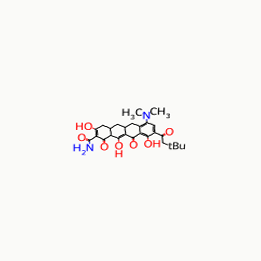 CN(C)c1cc(C(=O)CC(C)(C)C)c(O)c2c1CC1CC3CC(O)=C(C(N)=O)C(=O)C3C(O)=C1C2=O